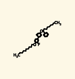 CCCCCCCCCCOc1ccc(-c2ccc(OC(CCCCCCCC)c3ccccc3)cc2)cc1F